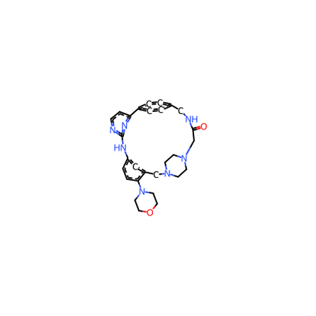 O=C1CN2CCN(CC2)Cc2cc(ccc2N2CCOCC2)Nc2nccc(n2)-c2ccc(cc2)CN1